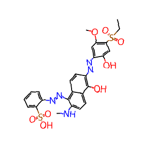 CCS(=O)(=O)c1cc(O)c(/N=N/c2ccc3c(/N=N/c4ccccc4S(=O)(=O)O)c(NC)ccc3c2O)cc1OC